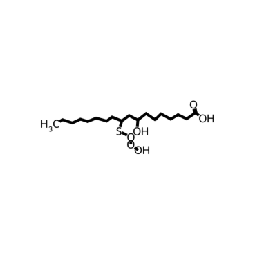 CCCCCCCCC(CC(O)CCCCCCC(=O)O)SOOO